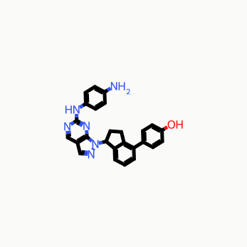 Nc1ccc(Nc2ncc3cnn(C4CCc5c(-c6ccc(O)cc6)cccc54)c3n2)cc1